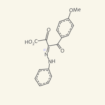 COc1ccc(C(=O)/C(=N\Nc2ccccc2)C(=O)C(=O)O)cc1